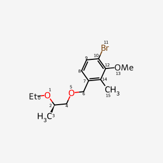 CCO[C@H](C)COCc1ccc(Br)c(OC)c1C